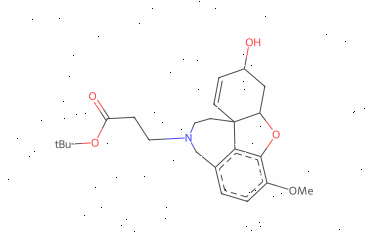 COc1ccc2c3c1OC1CC(O)C=CC31CCN(CCC(=O)OC(C)(C)C)C2